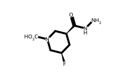 NNC(=O)[C@H]1C[C@@H](F)CN(C(=O)O)C1